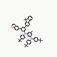 Cc1cc2c3c(c1)N(c1cc(-c4ccc5c(c4)C(C)(C)c4ccccc4-5)cc(-c4ccc5occc5c4)c1)c1ccc(C(C)(C)C)cc1B3c1cc(C(C)(C)C)ccc1N2c1ccc(C(C)(C)C)cc1